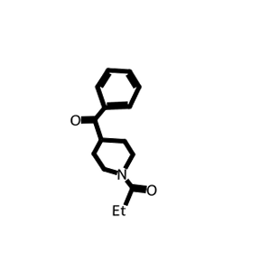 CCC(=O)N1CCC(C(=O)c2ccccc2)CC1